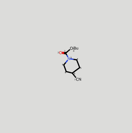 CC(C)COC(=O)N1CCC(C#N)CC1